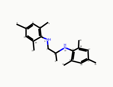 Cc1cc(C)c(NCC(C)Nc2c(C)cc(C)cc2C)c(C)c1